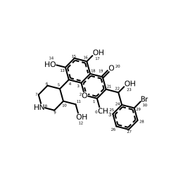 Cc1oc2c(C3CCNCC3CO)c(O)cc(O)c2c(=O)c1C(O)c1ccccc1Br